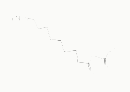 CCCCCCCCCCCCCCCCCC(=O)OC(=O)C(C)C